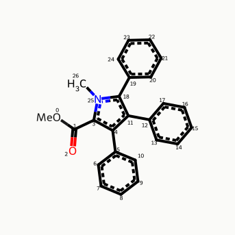 COC(=O)c1c(-c2ccccc2)c(-c2ccccc2)c(-c2ccccc2)n1C